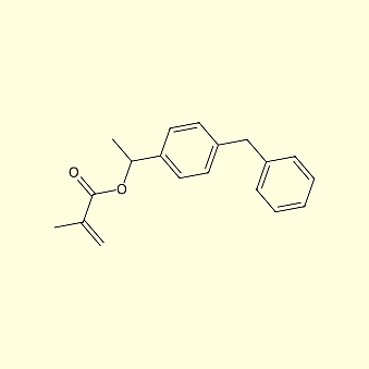 C=C(C)C(=O)OC(C)c1ccc(Cc2ccccc2)cc1